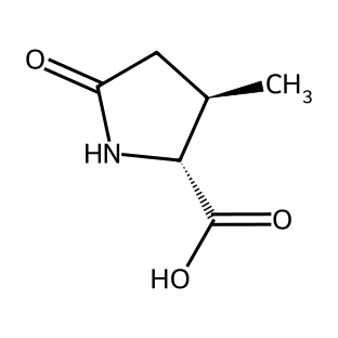 C[C@@H]1CC(=O)N[C@H]1C(=O)O